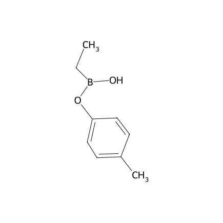 CCB(O)Oc1ccc(C)cc1